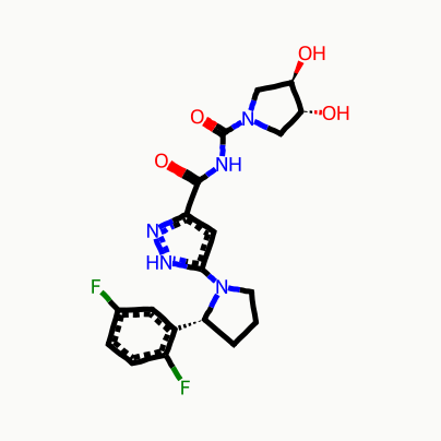 O=C(NC(=O)N1C[C@@H](O)[C@H](O)C1)c1cc(N2CCC[C@@H]2c2cc(F)ccc2F)[nH]n1